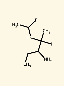 CCC(N)C(C)(I)NC(C)F